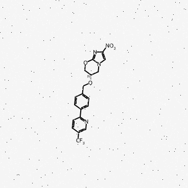 O=[N+]([O-])c1cn2c(n1)OC[C@@H](OCc1ccc(-c3ccc(C(F)(F)F)cn3)cc1)C2